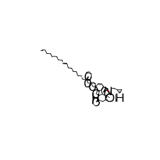 CCCCCCCC/C=C/CCCCCCCC(=O)OCOc1ccc2c3c1O[C@H]1C(=O)CC[C@@]4(O)C(C2)N(CC2CC2)CC[C@]314